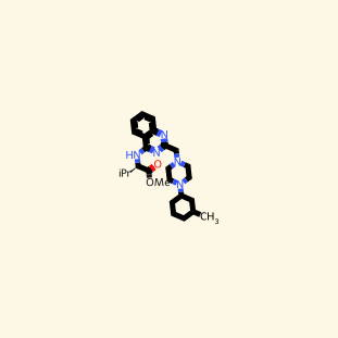 COC(=O)[C@@H](Nc1nc(CN2CCN(C3CCCC(C)C3)CC2)nc2ccccc12)C(C)C